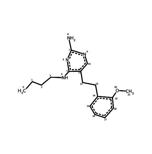 CCCCNc1nc(N)ncc1CCc1ccccc1OC